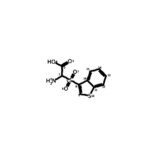 NC(C(=O)O)S(=O)(=O)c1csc2ccccc12